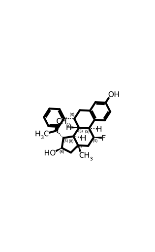 C=C(C)[C@@H]1[C@H]2[C@H]3[C@@H](c4ccc(O)cc4C[C@H]3c3ccccc3)[C@@H](F)C[C@]2(C)C[C@H]1O